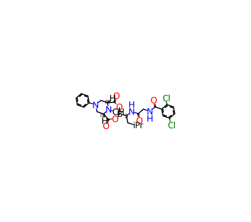 CC(C)CC(NC(=O)CNC(=O)c1cc(Cl)ccc1Cl)B1OC(=O)[C@H]2CN(c3ccccc3)C[C@@H](C(=O)O1)N2C